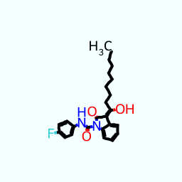 CCCCCCCCCC(O)=C1C(=O)N(C(=O)Nc2ccc(F)cc2)c2ccccc21